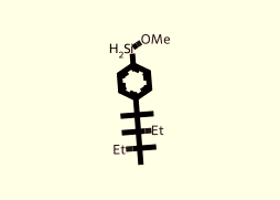 CCC(C)(C)C(C)(CC)C(C)(C)c1ccc([SiH2]OC)cc1